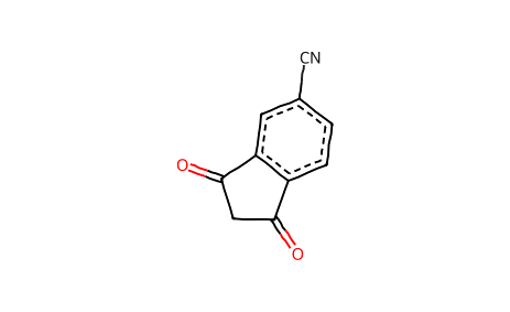 N#Cc1ccc2c(c1)C(=O)CC2=O